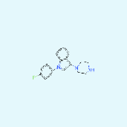 Fc1ccc(-n2cc(N3CCNCC3)c3ccccc32)cc1